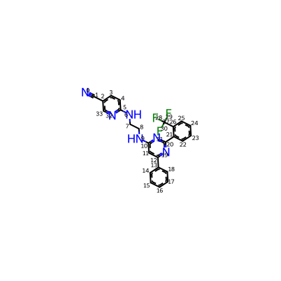 N#Cc1ccc(NCCNc2cc(-c3ccccc3)nc(-c3ccccc3C(F)(F)F)n2)nc1